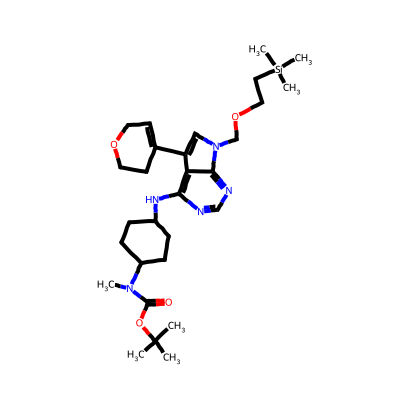 CN(C(=O)OC(C)(C)C)C1CCC(Nc2ncnc3c2c(C2=CCOCC2)cn3COCC[Si](C)(C)C)CC1